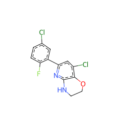 Fc1ccc(Cl)cc1-c1cc(Cl)c2c(n1)NCCO2